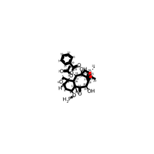 CC(=O)O[C@@]12CO[C@@H]1C[C@H](OP)[C@@]1(C)C(=O)[C@H](O)C3=C(C)[C@@H](C)C[C@@](O)([C@@H](OC(=O)c4ccccc4)C12)C3(C)C